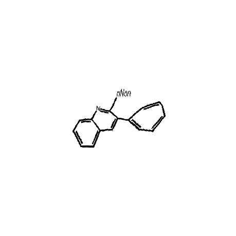 CCCCCCCCCc1nc2ccccc2cc1-c1ccccc1